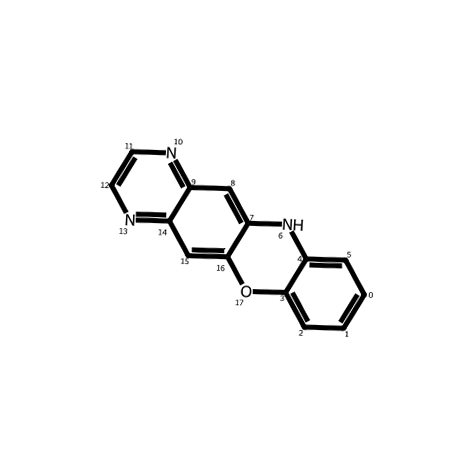 c1ccc2c(c1)Nc1cc3nccnc3cc1O2